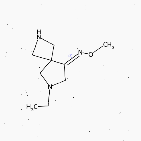 CCN1C/C(=N\OC)C2(CNC2)C1